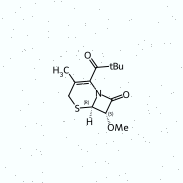 CO[C@H]1C(=O)N2C(C(=O)C(C)(C)C)=C(C)CS[C@H]12